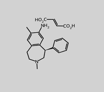 Cc1cc2c(cc1N)[C@@H](c1ccccc1)CN(C)CC2.O=C(O)C=CC(=O)O